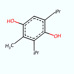 Cc1c(O)cc(C(C)C)c(O)c1C(C)C